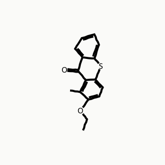 CCOc1ccc2sc3ccccc3c(=O)c2c1C